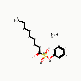 CCCCCCCCC(=O)S(=O)(=O)Oc1ccccc1.[NaH]